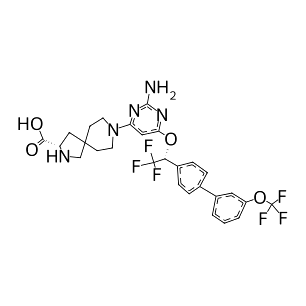 Nc1nc(O[C@H](c2ccc(-c3cccc(OC(F)(F)F)c3)cc2)C(F)(F)F)cc(N2CCC3(CC2)CN[C@H](C(=O)O)C3)n1